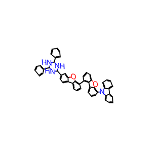 c1ccc(C2NC(c3ccccc3)NC(c3ccc4c(c3)oc3c(-c5cccc6oc7c(-n8c9ccccc9c9ccccc98)cccc7c56)cccc34)N2)cc1